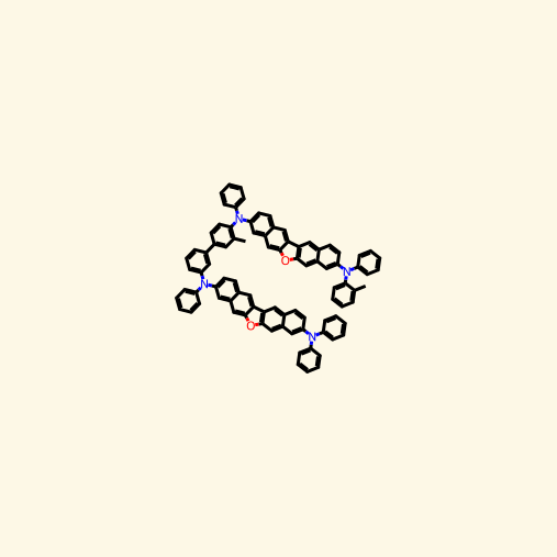 Cc1ccccc1N(c1ccccc1)c1ccc2cc3c(cc2c1)oc1cc2cc(N(c4ccccc4)c4ccc(-c5cccc(N(c6ccccc6)c6ccc7cc8c(cc7c6)oc6cc7cc(N(c9ccccc9)c9ccccc9)ccc7cc68)c5)cc4C)ccc2cc13